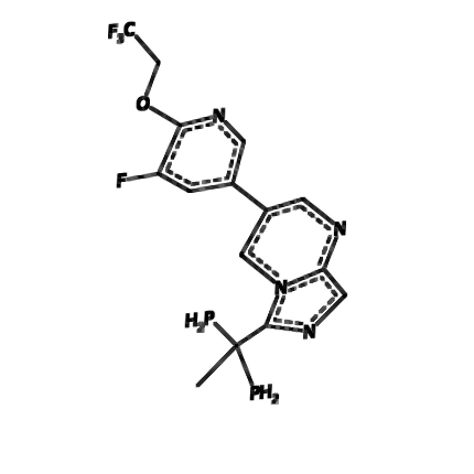 CC(P)(P)c1ncc2ncc(-c3cnc(OCC(F)(F)F)c(F)c3)cn12